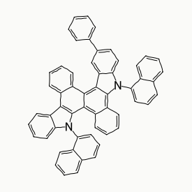 c1ccc(-c2ccc3c(c2)c2c4c5ccccc5c5c6ccccc6n(-c6cccc7ccccc67)c5c4c4ccccc4c2n3-c2cccc3ccccc23)cc1